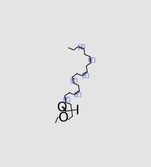 CC/C=C\C/C=C\C/C=C\C/C=C\C/C=C\C/C=C\CC(I)(CC)C(=O)OCC